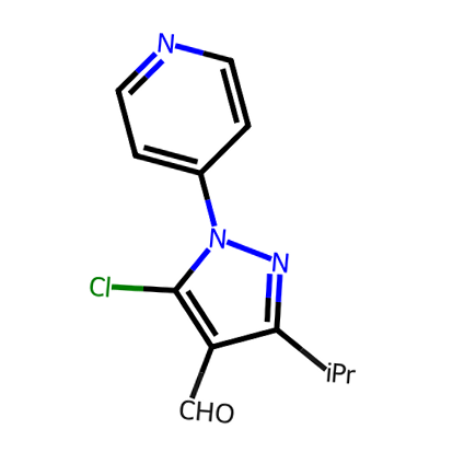 CC(C)c1nn(-c2ccncc2)c(Cl)c1C=O